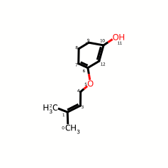 CC(C)=CCOC1=CC[CH]C(O)=C1